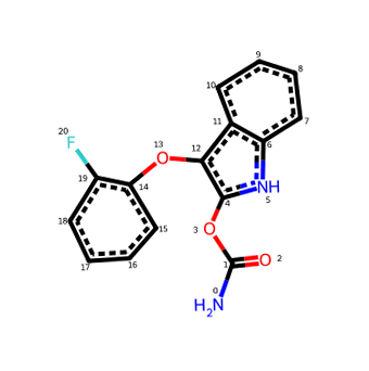 NC(=O)Oc1[nH]c2ccccc2c1Oc1ccccc1F